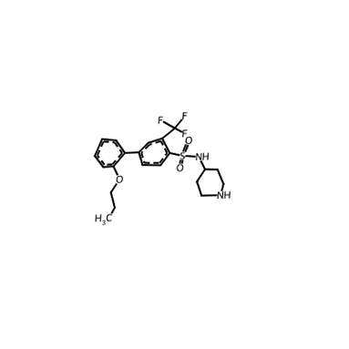 CCCOc1ccccc1-c1ccc(S(=O)(=O)NC2CCNCC2)c(C(F)(F)F)c1